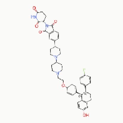 O=C1CCC(N2C(=O)c3ccc(C4CCN(C5CCN(CCOC6C=CC([C@@H]7c8ccc(O)cc8CC[C@@H]7c7ccc(F)cc7)=CC6)CC5)CC4)cc3C2=O)C(=O)N1